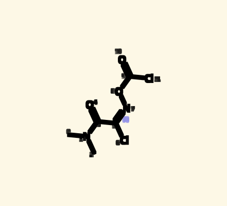 CN(C)C(=O)/C(Cl)=N\OC(=O)Cl